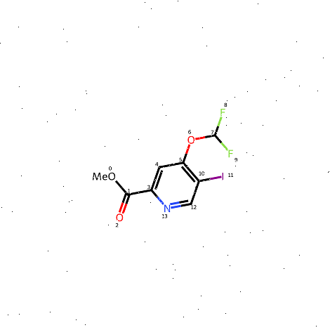 COC(=O)c1cc(OC(F)F)c(I)cn1